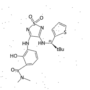 CN(C)C(=O)c1cccc(NC2=NS(=O)(=O)N=C2N[C@@H](c2cccs2)C(C)(C)C)c1O